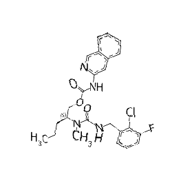 CCC[C@@H](COC(=O)Nc1cc2ccccc2cn1)N(C)C(=O)NCc1cccc(F)c1Cl